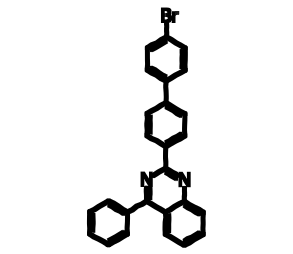 Brc1ccc(-c2ccc(-c3nc(-c4ccccc4)c4ccccc4n3)cc2)cc1